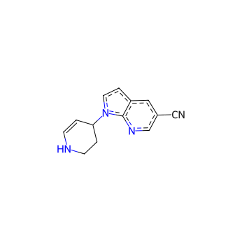 N#Cc1cnc2c(ccn2C2C=CNCC2)c1